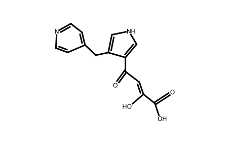 O=C(O)C(O)=CC(=O)c1c[nH]cc1Cc1ccncc1